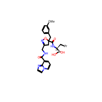 COc1cccc(CC2(C(=O)N[C@@H](CC(C)C)B(O)O)CC(CNC(=O)c3cccn4ccnc34)=NO2)c1